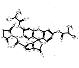 CC(C)C(=O)Oc1ccc2c(c1)Oc1cc(OC(=O)C(C)C)ccc1C21OC(=O)c2ccc(C(=O)ON3C(=O)CCC3=O)cc21